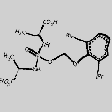 CCOC(=O)[C@H](C)NP(=O)(N[C@@H](C)C(=O)O)OCOc1c(C(C)C)cccc1C(C)C